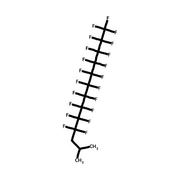 CC(C)CC(F)(F)C(F)(F)C(F)(F)C(F)(F)C(F)(F)C(F)(F)C(F)(F)C(F)(F)C(F)(F)C(F)(F)F